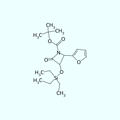 CC[Si](CC)(CC)OC1C(=O)N(C(=O)OC(C)(C)C)C1c1ccco1